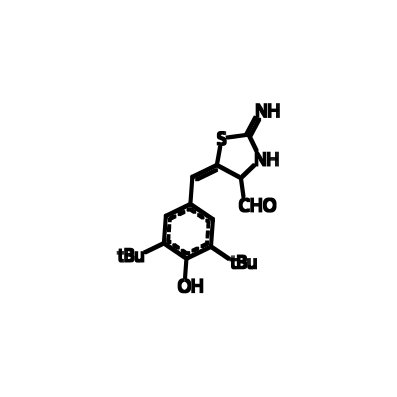 CC(C)(C)c1cc(C=C2SC(=N)NC2C=O)cc(C(C)(C)C)c1O